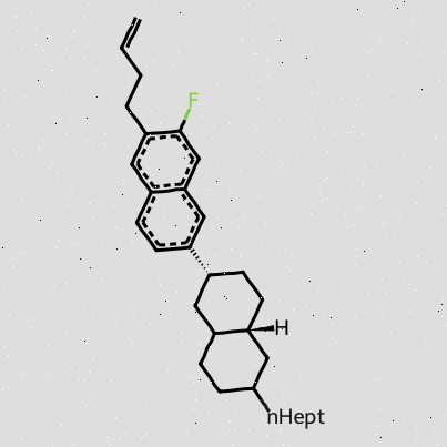 C=CCCc1cc2ccc([C@@H]3CC[C@@H]4CC(CCCCCCC)CCC4C3)cc2cc1F